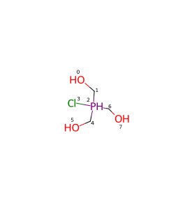 OC[PH](Cl)(CO)CO